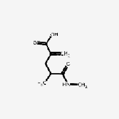 C=C(CC(C)C(=O)NC)C(=O)O